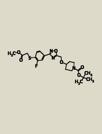 COC(=O)CSc1ccc(-c2noc(COC3CCN(C(=O)OC(C)(C)C)CC3)n2)cc1F